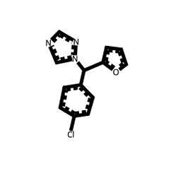 Clc1ccc(C(c2ccco2)n2cncn2)cc1